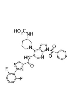 O=C(O)N[C@H]1CCCN(c2c(NC(=O)c3csc(-c4c(F)cccc4F)n3)cnc3c2ccn3S(=O)(=O)c2ccccc2)C1